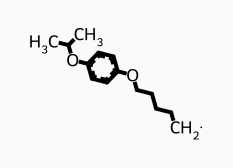 [CH2]CCCCOc1ccc(OC(C)C)cc1